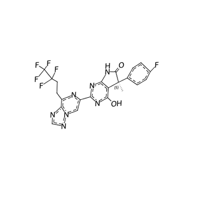 C[C@@]1(c2ccc(F)cc2)C(=O)Nc2nc(-c3cn4ncnc4c(CCC(F)(F)C(F)(F)F)n3)nc(O)c21